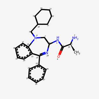 C[C@H](N)C(=O)NC1CN(CC2CCCCC2)c2ccccc2C(c2ccccc2)=N1